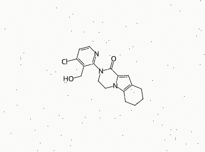 O=C1c2cc3c(n2CCN1c1nccc(Cl)c1CO)CCCC3